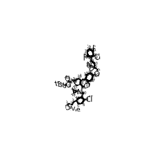 COCCCc1ccc(Cl)c(CN(C(=O)C2=C(c3ccc(OCc4cc(-c5c(F)ccc(F)c5Cl)no4)cc3)CCN(C(=O)OC(C)(C)C)C2)C2CC2)c1